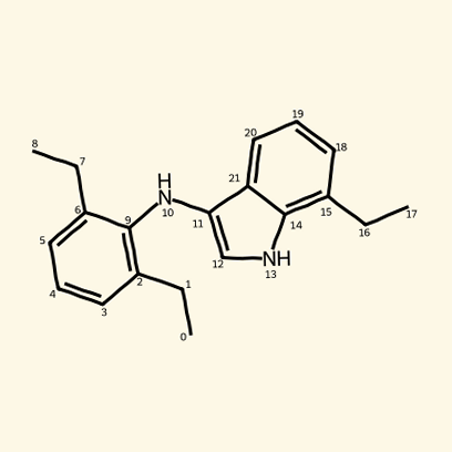 CCc1cccc(CC)c1Nc1c[nH]c2c(CC)cccc12